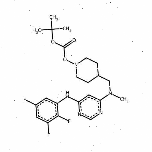 CN(CC1CCN(OC(=O)OC(C)(C)C)CC1)c1cc(Nc2cc(F)cc(F)c2F)ncn1